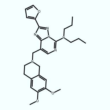 CCCN(CCC)c1ncc(CN2CCc3cc(OC)c(OC)cc3C2)c2nc(-c3ccco3)nn12